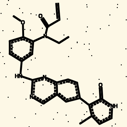 C=CC(=O)N(CC)c1cc(Nc2ncc3cc(-c4c(C)cc[nH]c4=O)ccc3n2)ccc1OC